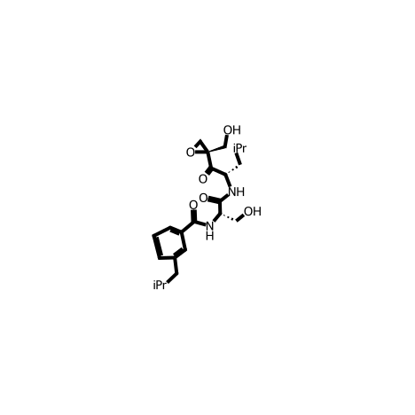 CC(C)Cc1cccc(C(=O)N[C@@H](CO)C(=O)N[C@@H](CC(C)C)C(=O)[C@@]2(CO)CO2)c1